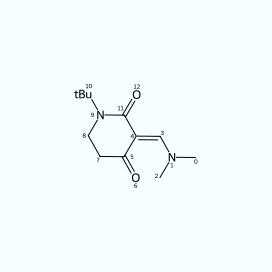 CN(C)/C=C1\C(=O)CCN(C(C)(C)C)C1=O